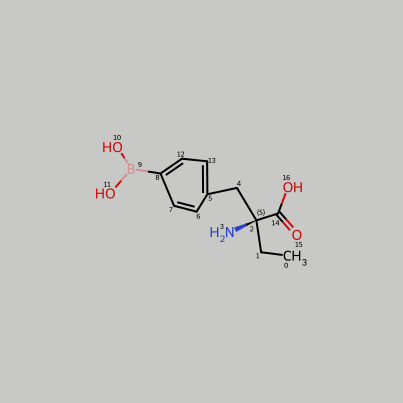 CC[C@](N)(Cc1ccc(B(O)O)cc1)C(=O)O